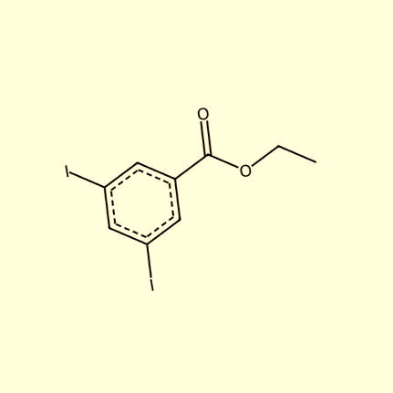 CCOC(=O)c1cc(I)cc(I)c1